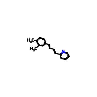 Cc1ccc(C=CC=Cc2ccccn2)cc1C